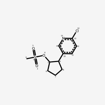 CS(=O)(=O)OC1CCCC1c1ccc(Cl)nc1